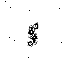 O=C(c1ccc2c(c1)Cc1ccc(C(=O)N3CCCCC3)cc1O2)N1CCCCC1